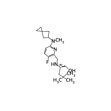 CN(c1ccc(F)c(CN[C@@H](CO)CC(C)(C)C)n1)C1CC2(CC2)C1